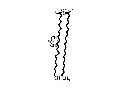 CCCCCCCCCCCCCCCCCCCCCC(=O)[O-].CCCCCCCCCCCCCCCCCCCCCC(=O)[O-].[CH3][Sn+2][CH3]